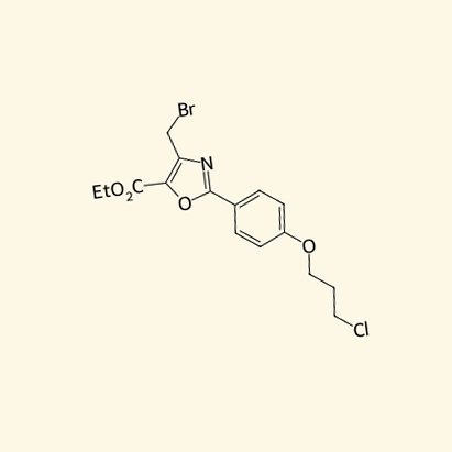 CCOC(=O)c1oc(-c2ccc(OCCCCl)cc2)nc1CBr